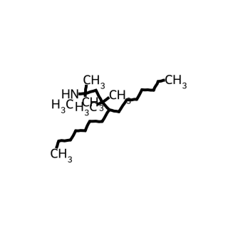 CCCCCCCC(CCCCCCC)C(C)(C)CC(C)(C)NC